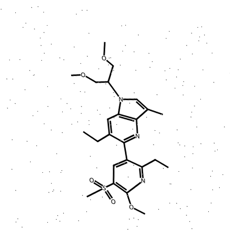 CCc1cc2c(nc1-c1cc(S(C)(=O)=O)c(OC)nc1CC)c(C)cn2C(COC)COC